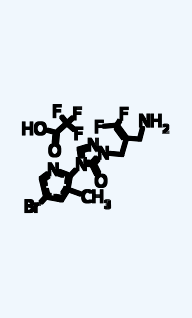 Cc1cc(Br)cnc1-n1cnn(CC(CN)=C(F)F)c1=O.O=C(O)C(F)(F)F